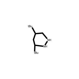 CC(C)(C)C1CNNC(C(C)(C)C)C1